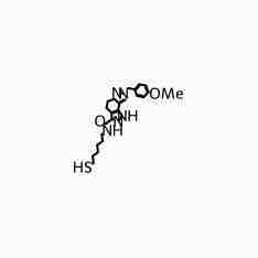 COc1ccc(Cn2cc3c(n2)CCc2c(C(=O)NCCCCCCS)n[nH]c2-3)cc1